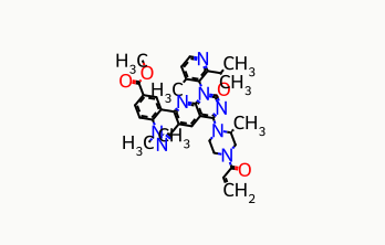 C=CC(=O)N1CCN(c2nc(=O)n(-c3c(C)ccnc3C(C)C)c3nc(-c4cc(C(=O)OC)ccc4N(C)C)c(C#N)cc23)[C@@H](C)C1